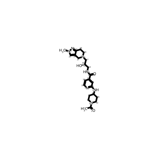 CC(=O)N1CCC(Nc2cc(C(=O)NC[C@H](O)CN3CCc4nn(C)cc4C3)ccn2)CC1